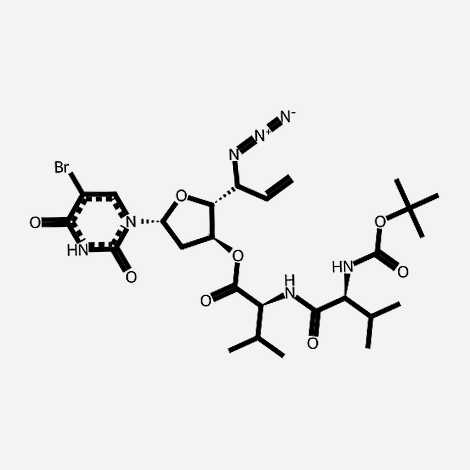 C=CC(N=[N+]=[N-])[C@H]1O[C@@H](n2cc(Br)c(=O)[nH]c2=O)C[C@@H]1OC(=O)[C@@H](NC(=O)[C@@H](NC(=O)OC(C)(C)C)C(C)C)C(C)C